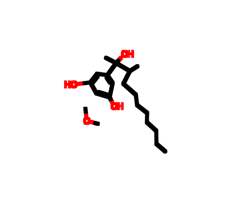 CCCCCCCCC(C)C(C)(O)c1cc(O)cc(O)c1.COC